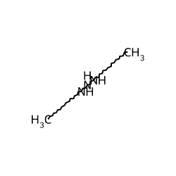 CCCCCCCCCCCCCCCCNCCNCCNCCCCCCCCCCCCCCCC